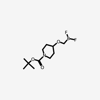 CC(C)(C)OC(=O)N1CCC(OCB(F)F)CC1